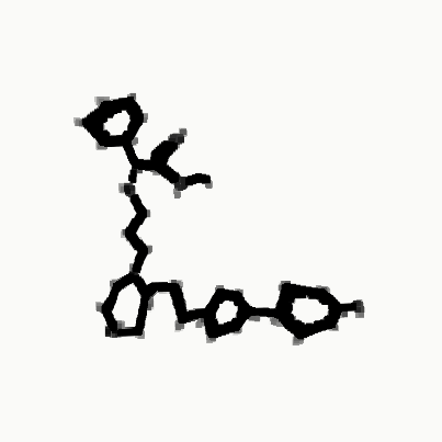 COC(=O)[C@H](OCCCN1CCNCC1CCc1ccc(-c2ccc(Cl)cc2)cc1)c1ccccc1